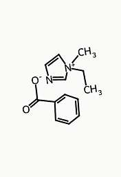 CC[N+]1(C)C=CN=C1.O=C([O-])c1ccccc1